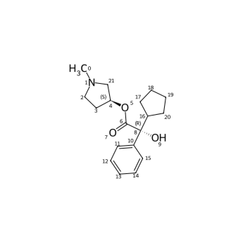 CN1CC[C@H](OC(=O)[C@](O)(c2ccccc2)C2CCCC2)C1